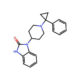 O=c1[nH]c2ccccc2n1C1CCN(C2(c3ccccc3)CC2)CC1